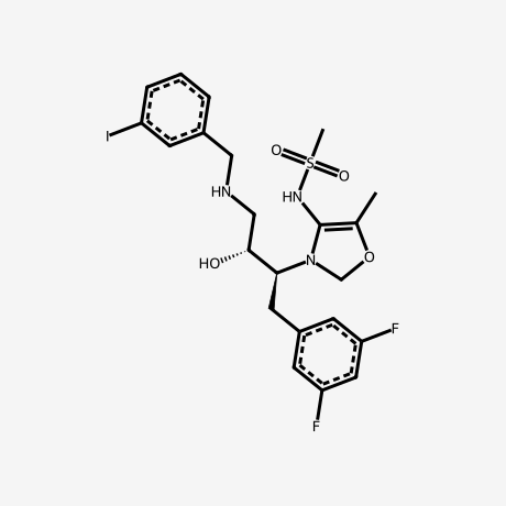 CC1=C(NS(C)(=O)=O)N([C@@H](Cc2cc(F)cc(F)c2)[C@H](O)CNCc2cccc(I)c2)CO1